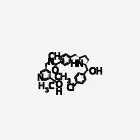 CN(Cc1cncc(C(C)(C)O)c1)C(=O)c1ccc(C[C@@H]2CC[C@H]([C@H](O)c3ccc(Cl)cc3)N2)cc1